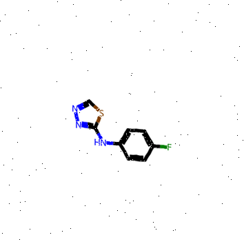 Fc1ccc(Nc2nncs2)cc1